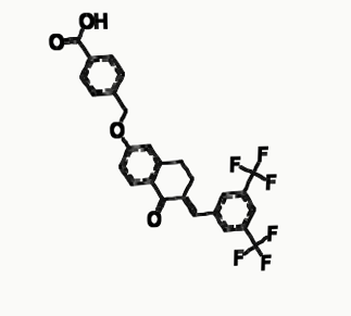 O=C(O)c1ccc(COc2ccc3c(c2)CC/C(=C\c2cc(C(F)(F)F)cc(C(F)(F)F)c2)C3=O)cc1